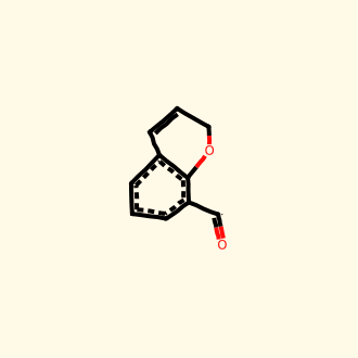 O=[C]c1cccc2c1OCC=C2